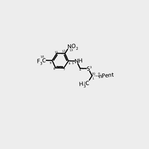 CCCCC[C@H](C)SCNc1ccc(C(F)(F)F)cc1[N+](=O)[O-]